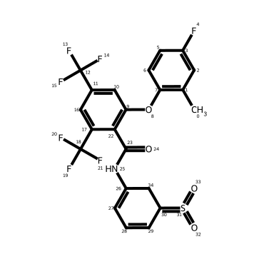 Cc1cc(F)ccc1Oc1cc(C(F)(F)F)cc(C(F)(F)F)c1C(=O)NC1=CC=CC(=S(=O)=O)C1